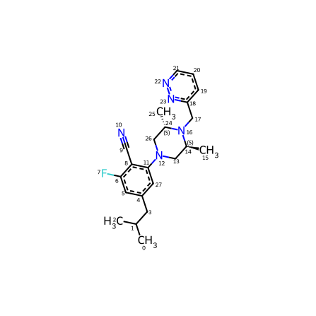 CC(C)Cc1cc(F)c(C#N)c(N2C[C@H](C)N(Cc3cccnn3)[C@@H](C)C2)c1